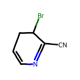 N#CC1=NC=CCC1Br